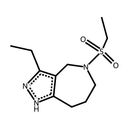 CCc1n[nH]c2c1CN(S(=O)(=O)CC)CCC2